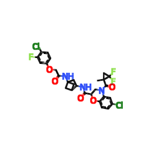 CC1(C(=O)N2CC(C(=O)NC3CC4(NC(=O)COc5ccc(Cl)c(F)c5)CC3C4)Oc3ccc(Cl)cc32)CC1(F)F